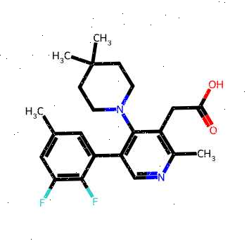 Cc1cc(F)c(F)c(-c2cnc(C)c(CC(=O)O)c2N2CCC(C)(C)CC2)c1